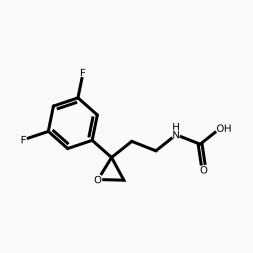 O=C(O)NCCC1(c2cc(F)cc(F)c2)CO1